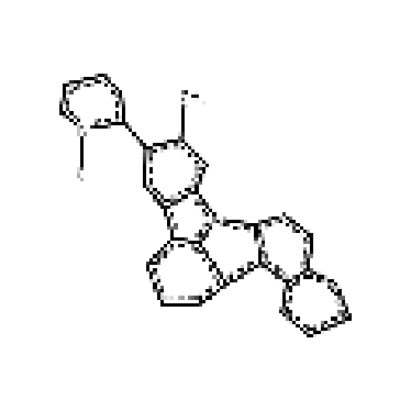 Cc1cc2c(cc1-c1cccc[n+]1C)c1cccc3c4c5ccccc5ccc4n2c13